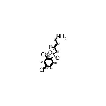 NC/C=C(\F)CS(=O)(=O)c1ccc(Cl)cc1Cl